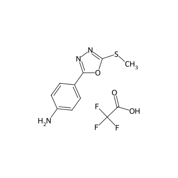 CSc1nnc(-c2ccc(N)cc2)o1.O=C(O)C(F)(F)F